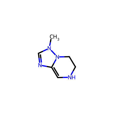 CN1C=NC2=CNCCN21